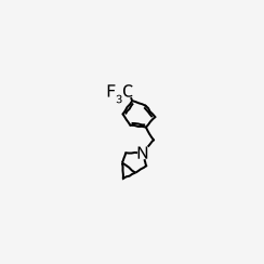 FC(F)(F)c1ccc(CN2CC3CC3C2)cc1